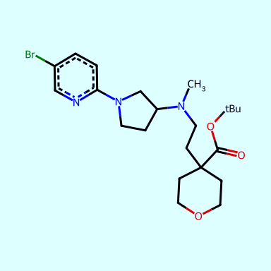 CN(CCC1(C(=O)OC(C)(C)C)CCOCC1)C1CCN(c2ccc(Br)cn2)C1